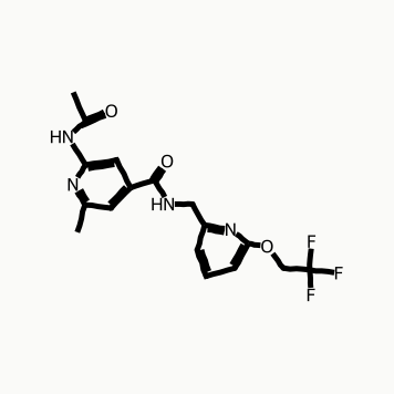 CC(=O)Nc1cc(C(=O)NCc2cccc(OCC(F)(F)F)n2)cc(C)n1